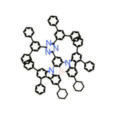 c1ccc(-c2cc(-c3ccccc3)cc(-c3nc(-c4cc(-c5ccccc5)cc(-c5ccccc5)c4)nc(-c4cc5c6c(c4)-n4c7cc(-c8ccccc8)cc(-c8ccccc8)c7c7cc(C8CCCCC8)cc(c74)B6c4cc(C6CCCCC6)cc6c7c(-c8ccccc8)cc(-c8ccccc8)cc7n-5c46)n3)c2)cc1